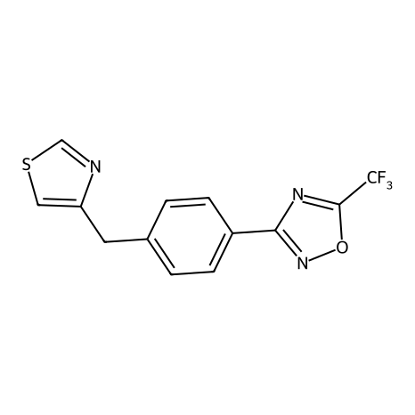 FC(F)(F)c1nc(-c2ccc(Cc3cscn3)cc2)no1